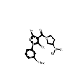 CCCCCCc1cccc(-n2nc(CC)c(C(=O)N3CCC(N(CC)CC)C3)c2CC)c1